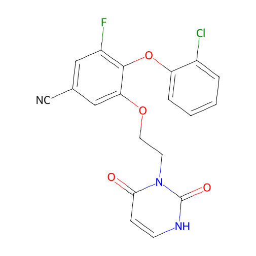 N#Cc1cc(F)c(Oc2ccccc2Cl)c(OCCn2c(=O)cc[nH]c2=O)c1